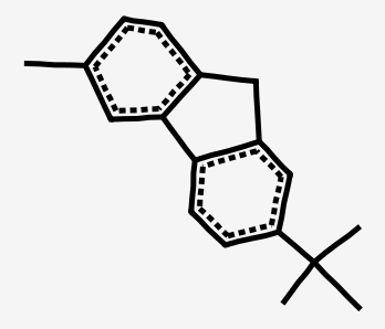 Cc1ccc2c(c1)-c1ccc(C(C)(C)C)cc1C2